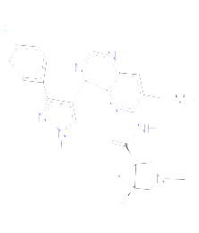 COc1cc2ncnc(-c3cn(C)nc3-c3ccc(F)cc3)c2nc1NC(=O)[C@]12C[C@H]1CN(C)C2